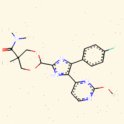 CC(C)Oc1nccc(-c2[nH]c(C3OCC(C)(C(=O)N(C)C)CO3)nc2-c2ccc(F)cc2)n1